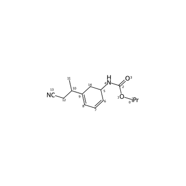 CC(C)OC(=O)NC1C=CC=C(C(C)CC#N)C1